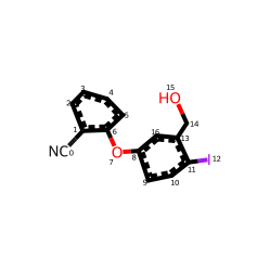 N#Cc1ccccc1Oc1ccc(I)c(CO)c1